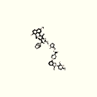 C#Cc1c(F)ccc2cc(O)cc(-c3ncc4c(N5CC6CCC(C5)N6)nc(OC[C@@H]5CC[C@@H](COC(=O)N6CCN(c7cccc8c7CN(C7CCC(=O)NC7=O)C8=O)CC6)N5C)nc4c3F)c12